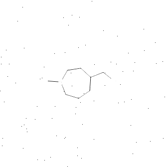 CN1CCCC(CO)CC1